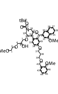 COCCOC[C@H](O)CO[C@@H]1CN(C(=O)OC(C)(C)C)C[C@H](OCc2cc(OC)c3ccccc3c2)[C@H]1c1ccc(OCCCOCc2ccccc2OC)cc1